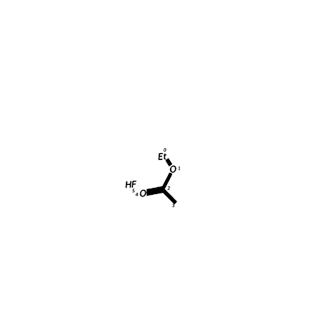 CCOC(C)=O.F